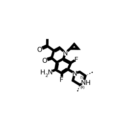 CC(=O)c1cn(C2CC2)c2c(F)c(N3C[C@@H](C)N[C@@H](C)C3)c(F)c(N)c2c1=O